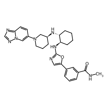 CNC(=O)c1cccc(-c2cnc(N[C@@H]3CCCC[C@H]3N[C@H]3CCCN(c4ccc5ncnn5c4)C3)o2)c1